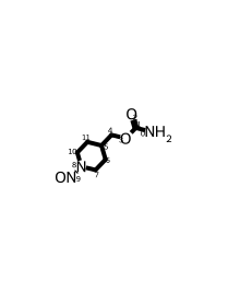 NC(=O)OCC1CCN(N=O)CC1